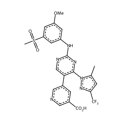 COc1cc(Nc2ncc(-c3cncc(C(=O)O)c3)c(-n3nc(C(F)(F)F)cc3C)n2)cc(S(C)(=O)=O)c1